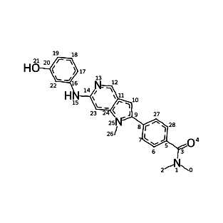 CN(C)C(=O)c1ccc(-c2cc3cnc(Nc4cccc(O)c4)cc3n2C)cc1